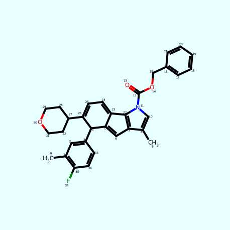 Cc1cc(C2C3=Cc4c(C)cn(C(=O)OCc5ccccc5)c4C3=CC=C2C2CCOCC2)ccc1F